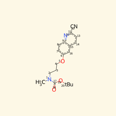 CN(CCCOc1ccc2nc(C#N)ccc2c1)C(=O)OC(C)(C)C